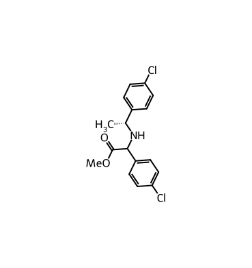 COC(=O)C(N[C@H](C)c1ccc(Cl)cc1)c1ccc(Cl)cc1